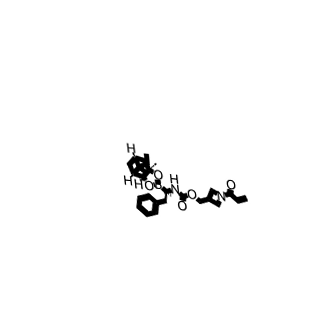 C=CC(=O)N1CC(COC(=O)N[C@@H](Cc2ccccc2)B2O[C@H]3[C@H]4C[C@@H](C[C@@]3(C)O2)C4(C)CC)C1